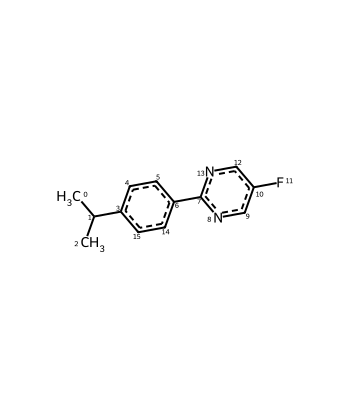 CC(C)c1ccc(-c2ncc(F)cn2)cc1